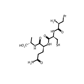 CC(C)C[C@H](N)C(=O)N[C@@H](CS)C(=O)N[C@@H](CCC(N)=O)C(=O)N[C@@H](C)C(=O)O